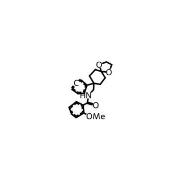 COc1ccccc1C(=O)NCC1(c2ccccc2)CCC2(CC1)OCCO2